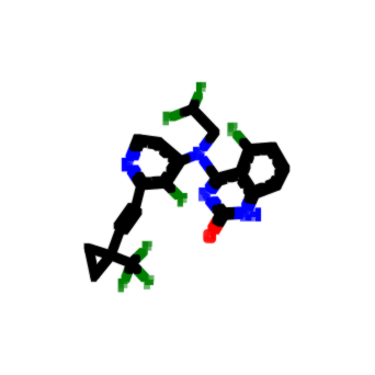 O=c1nc(N(CC(F)F)c2ccnc(C#CC3(C(F)(F)F)CC3)c2F)c2c(F)cccc2[nH]1